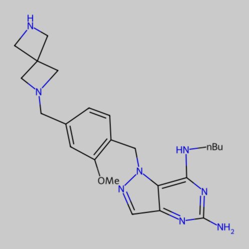 CCCCNc1nc(N)nc2cnn(Cc3ccc(CN4CC5(CNC5)C4)cc3OC)c12